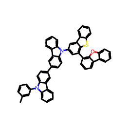 Cc1cccc(-n2c3ccccc3c3cc(-c4ccc5c(c4)c4ccccc4n5-c4cc(-c5cccc6c5oc5ccccc56)c5sc6ccccc6c5c4)ccc32)c1